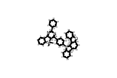 C[Si]1(C)c2ccccc2-c2nc(-c3ccccc3)nc(-c3ccc(-n4c5ccccc5c5ccc6oc7ccccc7c6c54)cc3)c21